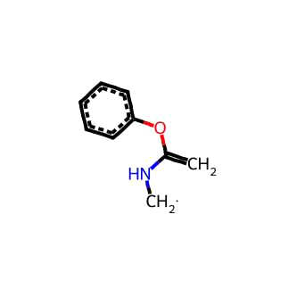 [CH2]NC(=C)Oc1ccccc1